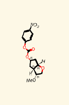 CO[C@H]1CO[C@@H]2C[C@H](OC(=O)Oc3ccc([N+](=O)[O-])cc3)C[C@H]12